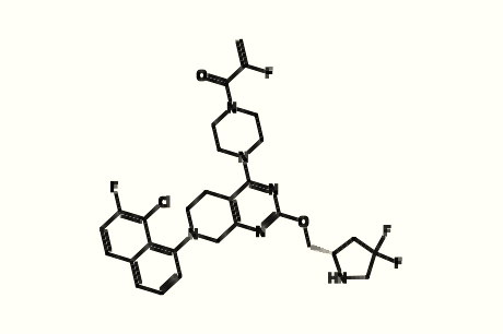 C=C(F)C(=O)N1CCN(c2nc(OC[C@@H]3CC(F)(F)CN3)nc3c2CCN(c2cccc4ccc(F)c(Cl)c24)C3)CC1